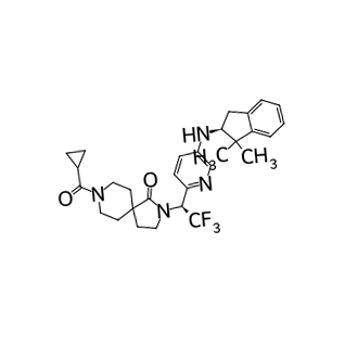 CC1(C)c2ccccc2C[C@@H]1Nc1ccc([C@H](N2CCC3(CCN(C(=O)C4CC4)CC3)C2=O)C(F)(F)F)nc1